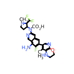 Cc1c(-c2cc3cc(N(C(=O)O)C4CCN(C)C4C(F)F)ncc3c(N)c2F)cnc2c1NCCO2